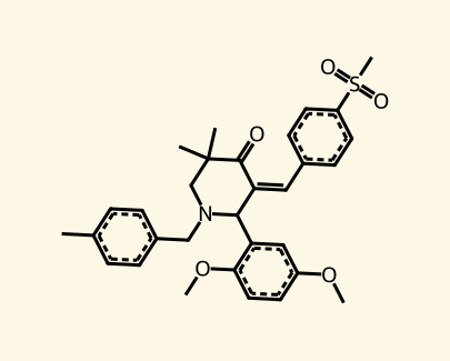 COc1ccc(OC)c(C2C(=Cc3ccc(S(C)(=O)=O)cc3)C(=O)C(C)(C)CN2Cc2ccc(C)cc2)c1